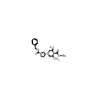 CC1CN([C@@H]2CCN(C(=O)OCc3ccccc3)C2)CC(C)N1C(=O)OC(C)(C)C